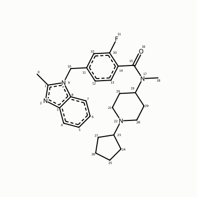 Cc1nc2ccccc2n1Cc1ccc(C(=O)N(C)C2CCN(C3CCCC3)CC2)c(F)c1